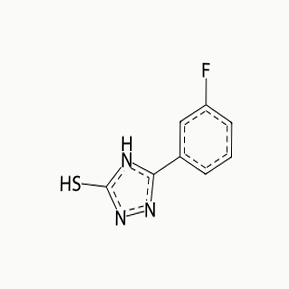 Fc1cccc(-c2nnc(S)[nH]2)c1